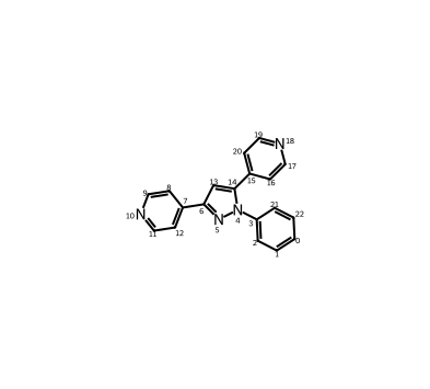 c1ccc(-n2nc(-c3ccncc3)cc2-c2ccncc2)cc1